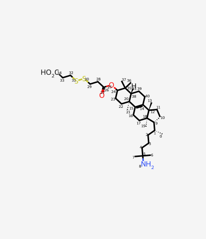 C[C@H](CCCC(C)(C)N)[C@H]1CC[C@@]2(C)C3=C(CC[C@]12C)[C@@]1(C)CCC(OC(=O)CCSSCCC(=O)O)C(C)(C)[C@@H]1CC3